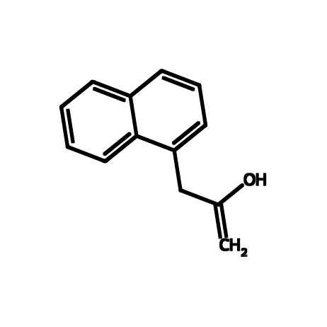 C=C(O)Cc1cccc2ccccc12